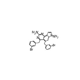 Nc1nc(Cc2cccc(Br)c2)c2c(Cc3cccc(Br)c3)cc3c(ccn3N)c2n1